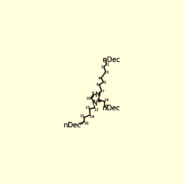 CCCCCCCCCCCCCCCCCn1cc[n+](CCCCCCCCCCCCCCC)c1CCCCCCCCCCC